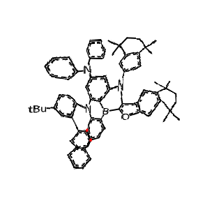 CC(C)(C)c1ccc(N2c3cc(-c4ccccc4)ccc3B3c4oc5cc6c(cc5c4N(c4ccc5c(c4)C(C)(C)CCC5(C)C)c4cc(N(c5ccccc5)c5ccccc5)cc2c43)C(C)(C)CCC6(C)C)c(-c2ccccc2)c1